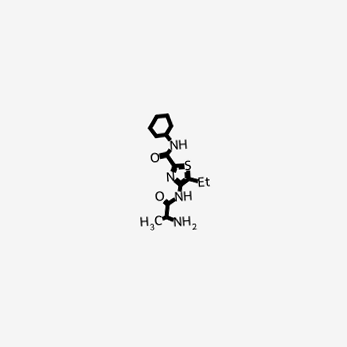 CCc1sc(C(=O)NC2CCCCC2)nc1NC(=O)C(C)N